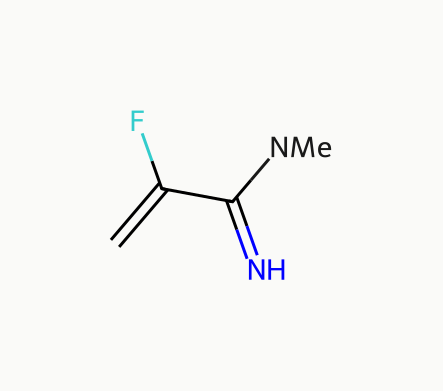 C=C(F)C(=N)NC